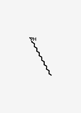 CCCCCCCCCCCCCCCCPC